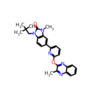 Cc1nc2ccccc2nc1Oc1cccc(-c2ccc3c(c2)n(C)c(=O)n3CC(C)(C)C)n1